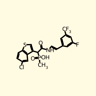 CP(=O)(O)C(C(=O)NC=Cc1cc(F)cc(C(F)(F)F)c1)c1csc2ccc(Cl)cc12